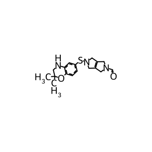 CC1(C)CNc2cc(SN3CC4=C(CN(C=O)C4)C3)ccc2O1